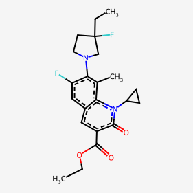 CCOC(=O)c1cc2cc(F)c(N3CCC(F)(CC)C3)c(C)c2n(C2CC2)c1=O